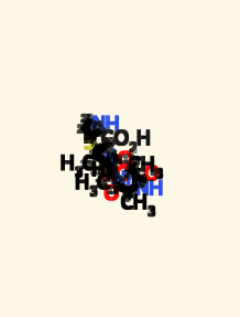 C[C@@H](O)C1C(=O)NC1[C@@H](C)C(=O)N[C@H](C)[C@H]1C(=O)N2C(C(=O)O)=C(S[C@H]3CCNC3)[C@H](C)[C@H]12